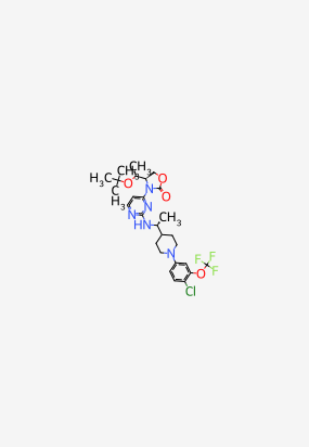 C[C@H](Nc1nccc(N2C(=O)OC[C@@H]2[C@H](C)OC(C)(C)C)n1)C1CCN(c2ccc(Cl)c(OC(F)(F)F)c2)CC1